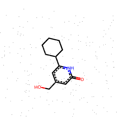 O=c1cc(CO)cc(C2CCCCC2)[nH]1